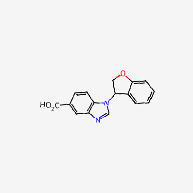 O=C(O)c1ccc2c(c1)ncn2C1COc2ccccc21